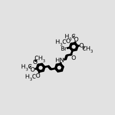 COc1cc(C=Cc2cccc(NC=CC(=O)c3cc(OC)c(OC)c(OC)c3Br)c2)cc(OC)c1OC